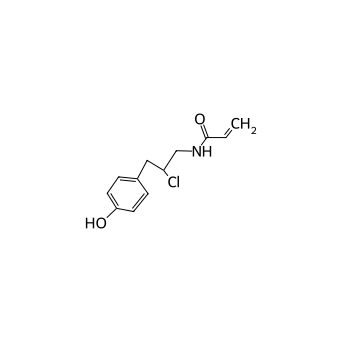 C=CC(=O)NCC(Cl)Cc1ccc(O)cc1